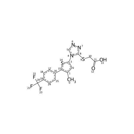 Cc1cc(-n2cnnc2SCC(=O)O)sc1-c1ccc(C(F)(F)F)cc1